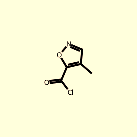 Cc1cnoc1C(=O)Cl